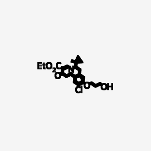 CCOC(=O)C1=CN2C(CC1=O)c1cc(Cl)c(OCCCO)cc1CC2C1(C)CC1